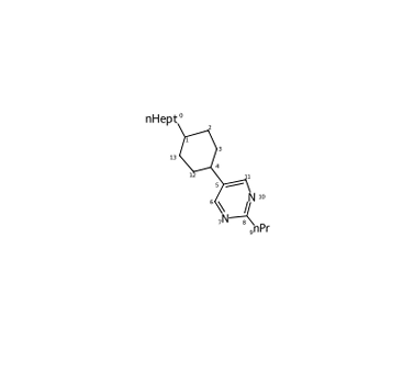 CCCCCCCC1CCC(c2cnc(CCC)nc2)CC1